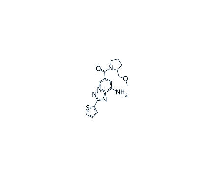 COCC1CCCN1C(=O)c1cc(N)c2nc(-c3cccs3)nn2c1